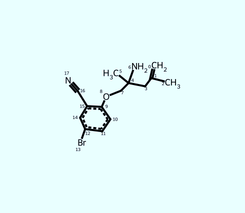 C=C(C)CC(C)(N)COc1ccc(Br)cc1C#N